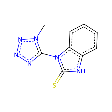 Cn1nnnc1-n1c(=S)[nH]c2ccccc21